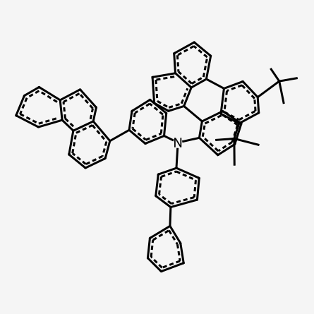 CC(C)(C)c1cc(-c2cccc3cccc(-c4ccccc4N(c4ccc(-c5ccccc5)cc4)c4cccc(-c5cccc6c5ccc5ccccc56)c4)c23)cc(C(C)(C)C)c1